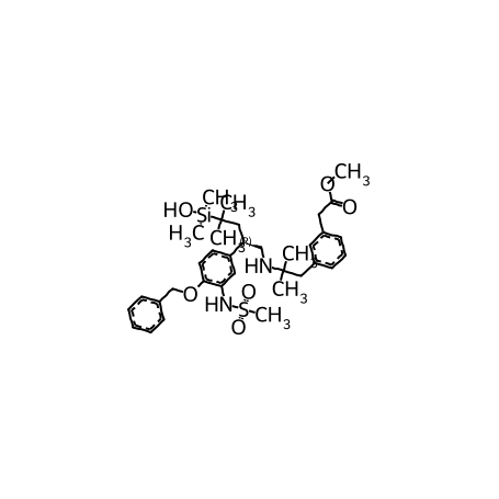 COC(=O)Cc1cccc(CC(C)(C)NC[C@H](CC(C)(C)[Si](C)(C)O)c2ccc(OCc3ccccc3)c(NS(C)(=O)=O)c2)c1